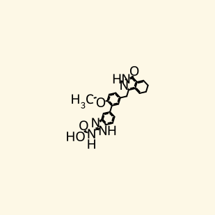 CCOc1ccc(Cc2n[nH]c(=O)c3c2=CCCC=3)cc1-c1ccc2[nH]c(NC(=O)O)nc2c1